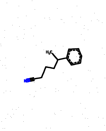 CC(CCCC#N)c1ccccc1